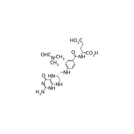 CN(C)C=O.Nc1nc(=O)c2c([nH]1)NC[C@@H](CNc1ccc(C(=O)N[C@@H](CCC(=O)O)C(=O)O)cc1)N2